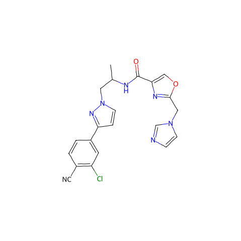 CC(Cn1ccc(-c2ccc(C#N)c(Cl)c2)n1)NC(=O)c1coc(Cn2ccnc2)n1